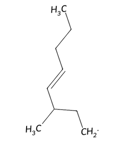 [CH2]CC(C)/C=C/CCC